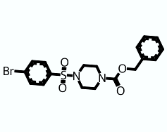 O=C(OCc1ccccc1)N1CCN(S(=O)(=O)c2ccc(Br)cc2)CC1